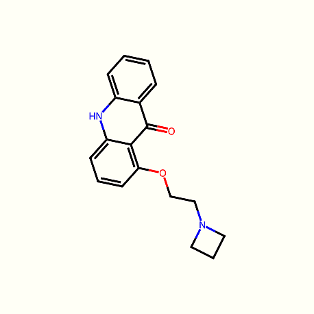 O=c1c2ccccc2[nH]c2cccc(OCCN3CCC3)c12